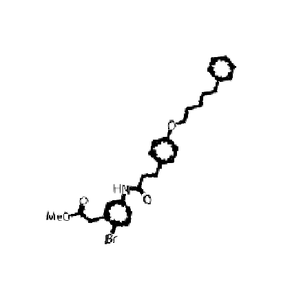 COC(=O)Cc1cc(NC(=O)CCc2ccc(OCCCCCc3ccccc3)cc2)ccc1Br